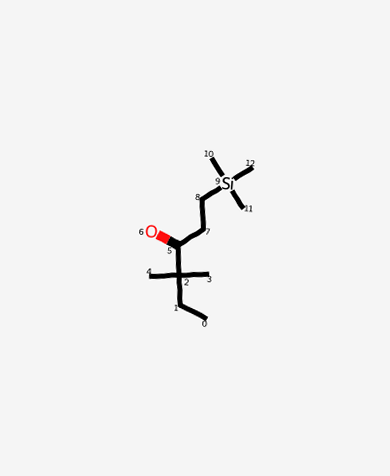 CCC(C)(C)C(=O)CC[Si](C)(C)C